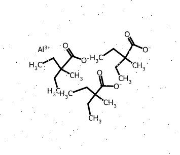 CCC(C)(CC)C(=O)[O-].CCC(C)(CC)C(=O)[O-].CCC(C)(CC)C(=O)[O-].[Al+3]